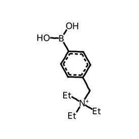 CC[N+](CC)(CC)Cc1ccc(B(O)O)cc1